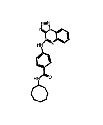 O=C(NC1CCCCCCC1)c1ccc(Nc2nc3ccccc3n3nnnc23)cc1